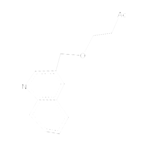 CC(=O)CCOCc1cnc2ccccc2c1